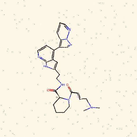 CN(C)C/C=C/C(=O)N1CCCC[C@H]1C(=O)NCCc1cc2c(-c3cnn4ncccc34)ccnc2[nH]1